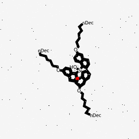 CCCCCCCCCCCCCCCCOc1ccc2c([Si](O)(c3cccc4cc(OCCCCCCCCCCCCCCCC)ccc34)c3cccc4cc(OCCCCCCCCCCCCCCCC)ccc34)cccc2c1